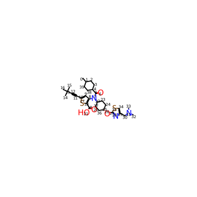 CC1CCC(C(=O)N(c2cc(C#CC(C)(C)C)sc2C(=O)O)C2CCC(Oc3nc(CN(C)C)cs3)CC2)CC1